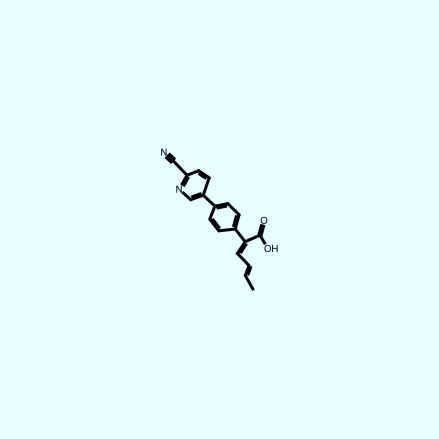 CC=CC=C(C(=O)O)c1ccc(-c2ccc(C#N)nc2)cc1